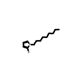 CCCCCCCCCp1cccc1[P]